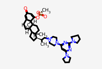 CC(CN1CCN(c2cc(N3CCCC3)nc(N3CCCC3)n2)CC1)[C@H]1CC[C@H]2[C@@H]3CCC4=CC(=O)C=C(OS(C)(=O)=O)[C@]4(C)[C@H]3CC[C@]12C